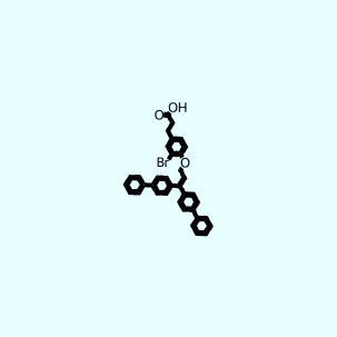 O=C(O)CCc1ccc(OCC=C(c2ccc(-c3ccccc3)cc2)c2ccc(-c3ccccc3)cc2)c(Br)c1